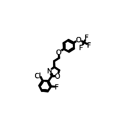 Fc1cccc(Cl)c1C1=NC(CCOc2ccc(OC(F)(F)F)cc2)CO1